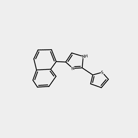 c1csc(-c2nc(-c3cccc4ccccc34)c[nH]2)c1